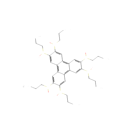 CCCCCCCCCCCC[S+]([O-])c1cc2c3cc([S+]([O-])CCCCCCCCCCCC)c([S+]([O-])CCCCCCCCCCCC)cc3c3cc([S+]([O-])CCCCCCCCCCCC)c([S+]([O-])CCCCCCCCCCCC)cc3c2cc1[S+]([O-])CCCCCCCCCCCC